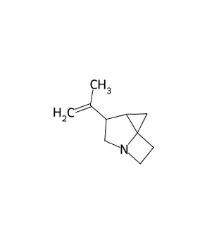 C=C(C)C1CN2CCC23CC13